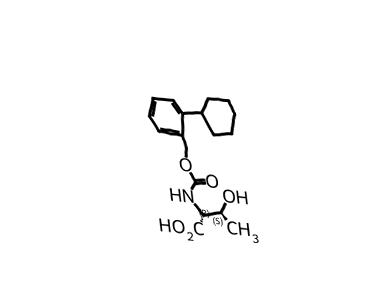 C[C@H](O)[C@@H](NC(=O)OCc1ccccc1C1CCCCC1)C(=O)O